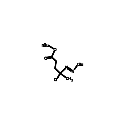 CCCCOC(=O)CCC(C)(Cl)N=NC(C)(C)C